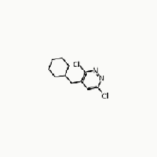 Clc1cc(CC2CCCCC2)c(Cl)nn1